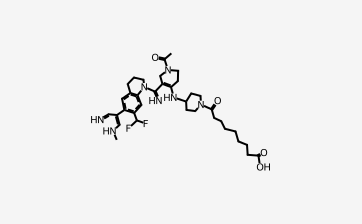 CN/C=C(\C=N)c1cc2c(cc1C(F)F)N(C(=N)C1=C(NC3CCN(C(=O)CCCCCCCC(=O)O)CC3)CCN(C(C)=O)C1)CCC2